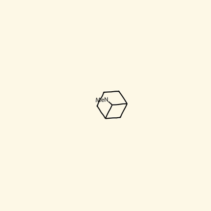 CNC1C2CCCC1C2